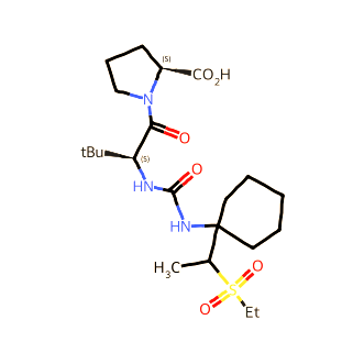 CCS(=O)(=O)C(C)C1(NC(=O)N[C@H](C(=O)N2CCC[C@H]2C(=O)O)C(C)(C)C)CCCCC1